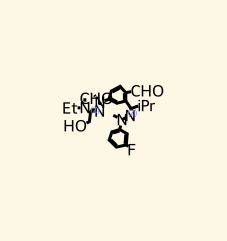 CCN(C=O)/C(CO)=N\N(C)c1ccc(C=O)c(/C(=N\N(C)c2cccc(F)c2)C(C)C)c1